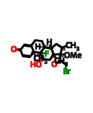 CO[C@]1(C(=O)CBr)[C@H](C)C[C@H]2[C@@H]3CCC4=CC(=O)C=C[C@]4(C)[C@@]3(F)[C@@H](O)C[C@@]21C